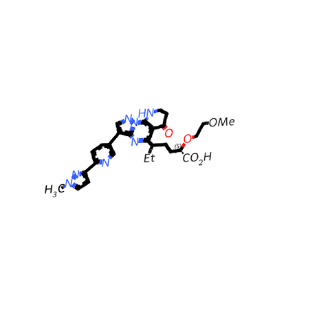 CCC(CC[C@H](OCCOC)C(=O)O)c1nc2c(-c3ccc(-c4ccn(C)n4)nc3)cnn2c2c1C(=O)CCN2